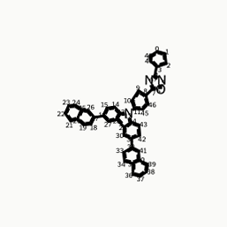 c1ccc(-c2noc(-c3ccc(-n4c5ccc(-c6ccc7ccccc7c6)cc5c5cc(-c6ccc7ccccc7c6)ccc54)cc3)n2)cc1